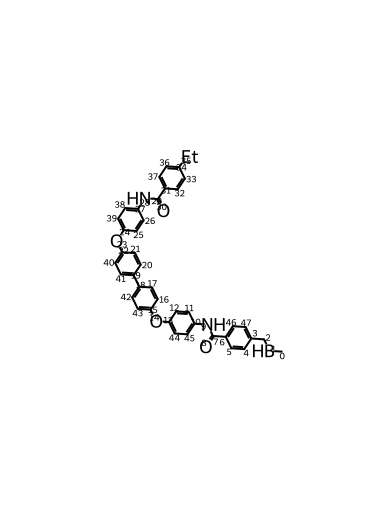 CBCc1ccc(C(=O)Nc2ccc(Oc3ccc(-c4ccc(Oc5ccc(NC(=O)c6ccc(CC)cc6)cc5)cc4)cc3)cc2)cc1